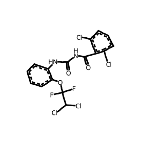 O=C(NC(=O)c1c(Cl)cccc1Cl)Nc1ccccc1OC(F)(F)C(Cl)Cl